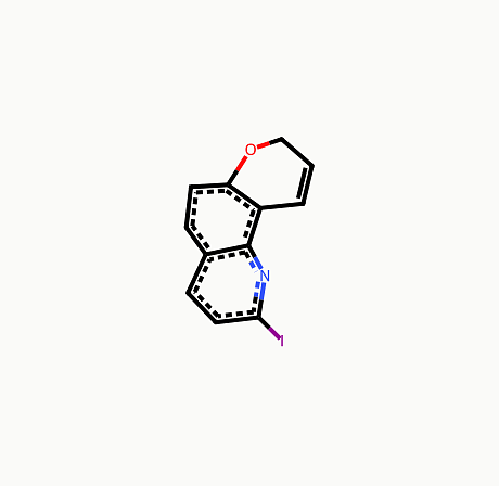 Ic1ccc2ccc3c(c2n1)C=CCO3